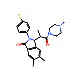 Cc1cc2c(cc1C)C(C(C)C(=O)N1CCN(C)CC1)N(c1ccc(F)cc1)C2=O